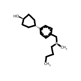 CCCCN(C)Cc1ccc([C@H]2CC[C@H](O)CC2)cc1